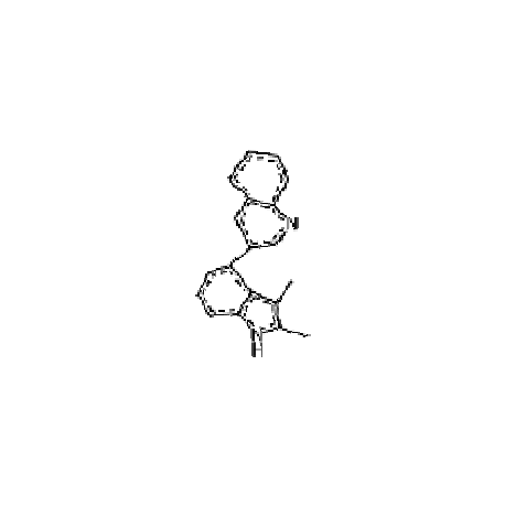 Cc1[nH]c2cccc(-c3cnc4ccccc4c3)c2c1C